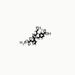 C=C(C(=O)OC)c1sccc1-c1cnc(CCCC)n1Cc1ccc(C(=O)O)cc1